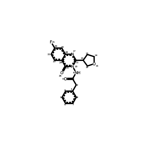 O=C(Cc1ccccc1)Nn1c(C2CCOC2)nc2cc(F)ccc2c1=O